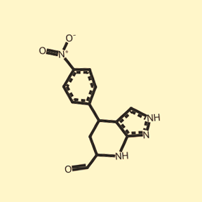 O=CC1CC(c2ccc([N+](=O)[O-])cc2)c2c[nH]nc2N1